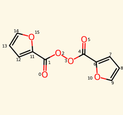 O=C(OOC(=O)c1ccco1)c1ccco1